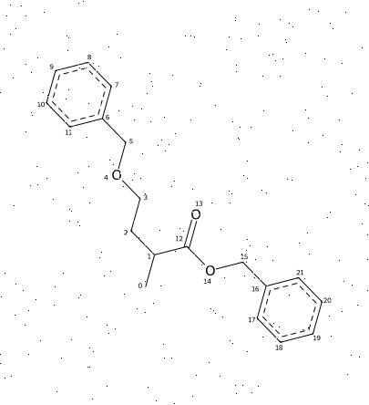 CC(CCOCc1ccccc1)C(=O)OCc1ccccc1